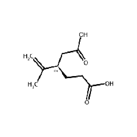 C=C(C)[C@H](CCC(=O)O)CC(=O)O